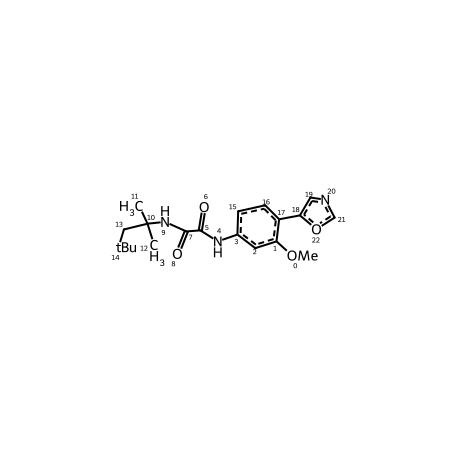 COc1cc(NC(=O)C(=O)NC(C)(C)CC(C)(C)C)ccc1-c1cnco1